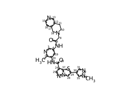 Cc1ncc(NC(=O)CN2CCc3cnccc3C2)cc1NC(=O)c1cnn2cc(-c3cnn(C)c3)sc12